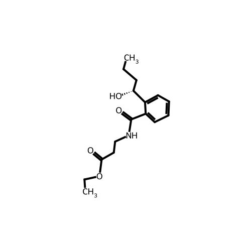 CCC[C@@H](O)c1ccccc1C(=O)NCCC(=O)OCC